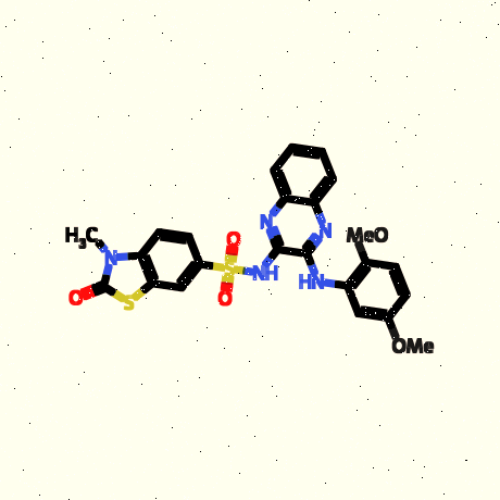 COc1ccc(OC)c(Nc2nc3ccccc3nc2NS(=O)(=O)c2ccc3c(c2)sc(=O)n3C)c1